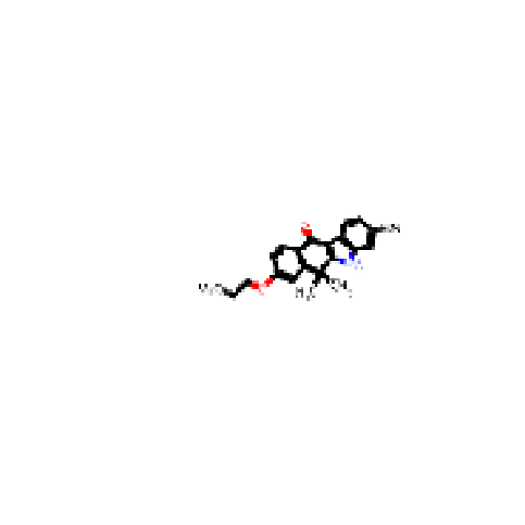 COCCOc1ccc2c(c1)C(C)(C)c1[nH]c3cc(C#N)ccc3c1C2=O